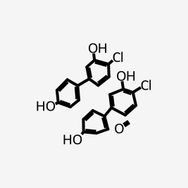 C=O.Oc1ccc(-c2ccc(Cl)c(O)c2)cc1.Oc1ccc(-c2ccc(Cl)c(O)c2)cc1